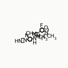 C=Nc1cc(Nc2ncc(-c3cc(F)c4c(c3)N(C(C)C)CCO4)n2C)ccc1N1CCNCC1